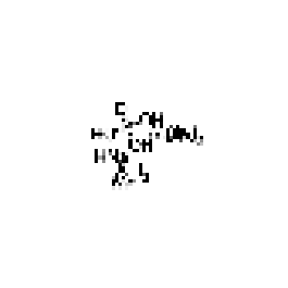 O=P(O)(O)O.[AlH3].[CaH2].[Fe].[MgH2].[Mn].[NaH]